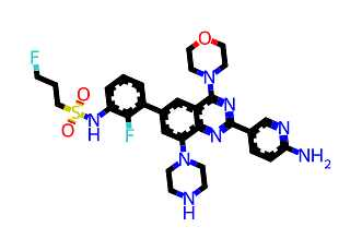 Nc1ccc(-c2nc(N3CCOCC3)c3cc(-c4cccc(NS(=O)(=O)CCCF)c4F)cc(N4CCNCC4)c3n2)cn1